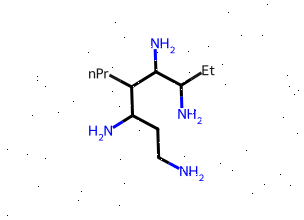 CCCC(C(N)CCN)C(N)C(N)CC